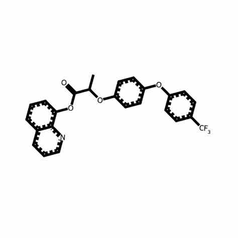 CC(Oc1ccc(Oc2ccc(C(F)(F)F)cc2)cc1)C(=O)Oc1cccc2cccnc12